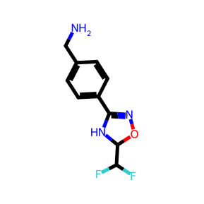 NCc1ccc(C2=NOC(C(F)F)N2)cc1